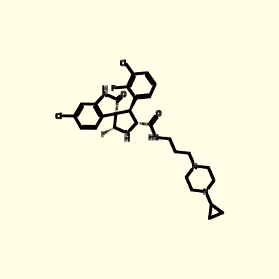 O=C(NCCCN1CCN(C2CC2)CC1)[C@@H]1N[C@H](I)[C@]2(C(=O)Nc3cc(Cl)ccc32)[C@H]1c1cccc(Cl)c1F